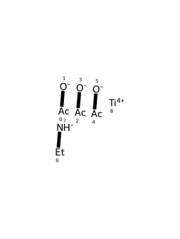 CC(=O)[O-].CC(=O)[O-].CC(=O)[O-].CC[NH-].[Ti+4]